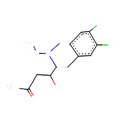 COC(=O)CC(O)[C@@H](Cc1ccc(Cl)c(Cl)c1)N(C)BC=O